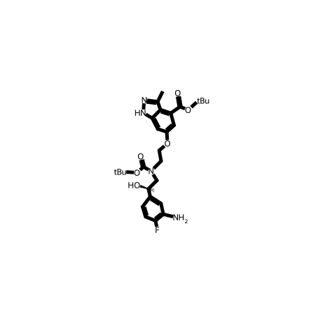 Cc1n[nH]c2cc(OCCN(C[C@H](O)c3ccc(F)c(N)c3)C(=O)OC(C)(C)C)cc(C(=O)OC(C)(C)C)c12